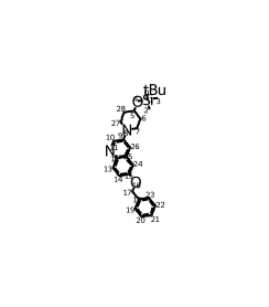 CC(C)(C)[Si](C)(C)OC1CCN(c2cnc3ccc(OCc4ccccc4)cc3c2)CC1